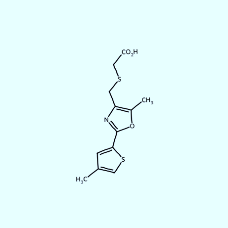 Cc1csc(-c2nc(CSCC(=O)O)c(C)o2)c1